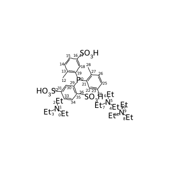 CCN(CC)CC.CCN(CC)CC.CCN(CC)CC.Cc1ccc(S(=O)(=O)O)cc1P(c1cc(S(=O)(=O)O)ccc1C)c1cc(S(=O)(=O)O)ccc1C